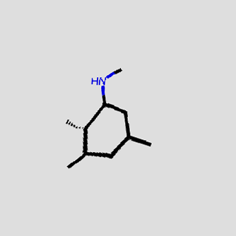 CNC1CC(C)CC(C)[C@@H]1C